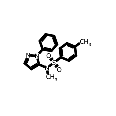 Cc1ccc(S(=O)(=O)N(C)c2ccnn2-c2ccccc2)cc1